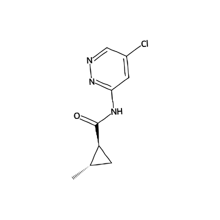 C[C@H]1C[C@@H]1C(=O)Nc1cc(Cl)cnn1